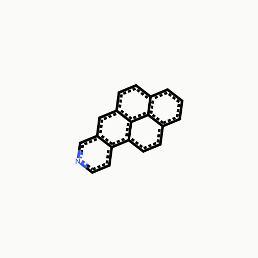 c1cc2ccc3cc4cnccc4c4ccc(c1)c2c34